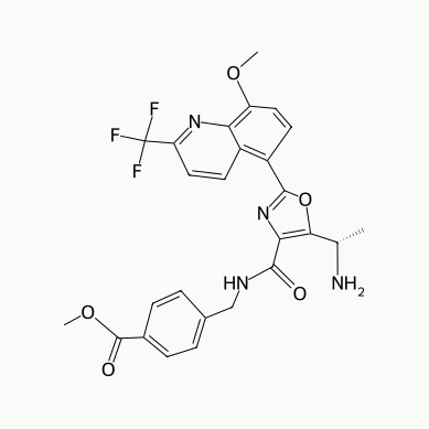 COC(=O)c1ccc(CNC(=O)c2nc(-c3ccc(OC)c4nc(C(F)(F)F)ccc34)oc2[C@H](C)N)cc1